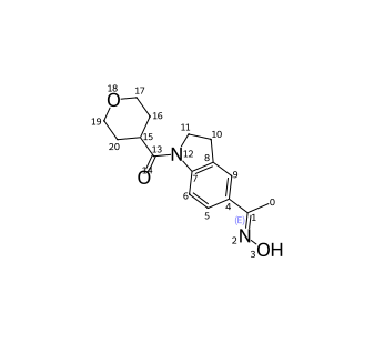 C/C(=N\O)c1ccc2c(c1)CCN2C(=O)C1CCOCC1